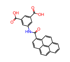 O=C(O)c1cc(NC(=O)c2ccc3ccc4cccc5ccc2c3c45)cc(C(=O)O)c1